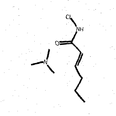 CCCC=CC(=O)NCl.CN(C)C